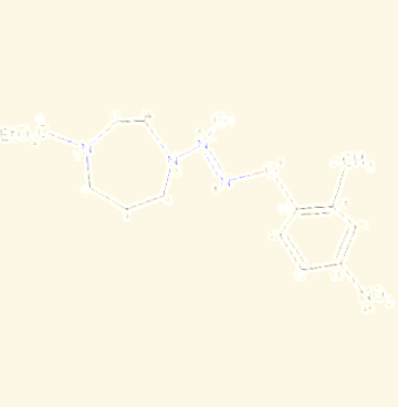 CCOC(=O)N1CCCN(/[N+]([O-])=N/Oc2ccc([N+](=O)[O-])cc2C)CC1